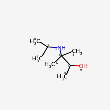 CC(C)NC(C)(C)C(C)O